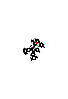 Cc1ccc(-c2ccc(C)cc2N2c3ccc(C(C)(C)C)cc3B3c4sc5c(c4N(c4ccc6c(c4)C(C)(C)CCC6(C)C)c4cc(C)cc2c43)CC2C(=C5)C(C)(C)C=CC2(C)C)cc1